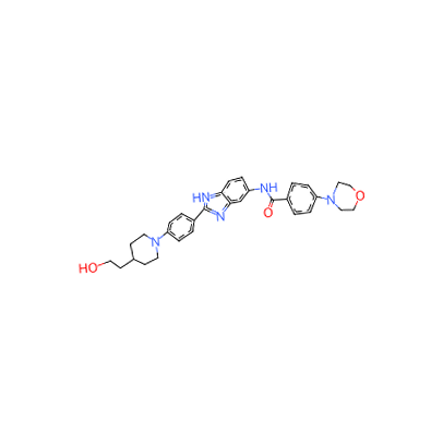 O=C(Nc1ccc2[nH]c(-c3ccc(N4CCC(CCO)CC4)cc3)nc2c1)c1ccc(N2CCOCC2)cc1